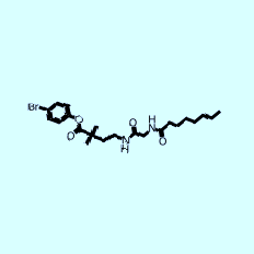 CCCCCCCC(=O)NCC(=O)NCCC(C)(C)C(=O)Oc1ccc(Br)cc1